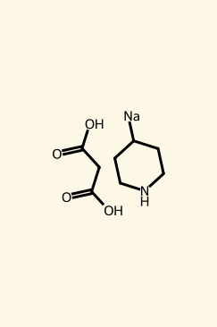 O=C(O)CC(=O)O.[Na][CH]1CCNCC1